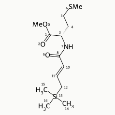 COC(=O)[C@H](CCSC)NC(=O)/C=C/C[Si](C)(C)C